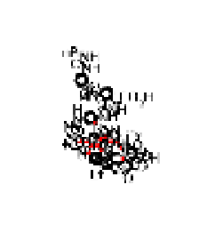 CCCNC(=O)Nc1cccc(S(=O)(=O)Nc2cccc([C@@H](CC(=O)O)NC(=O)Nc3ccc(NC(=O)N(C)CC(=O)N(C)CC(=O)N(C)CC(=O)N(C)CC(=O)N(C)CC(=O)N(C)CC(=O)N(C)CC(=O)N(C)CC(=O)N[C@@H](CC(=O)O)C(=O)N4CCC[C@H]4C(=O)N[C@H](C(=O)O[C@]4(CC)C(=O)OCc5c4cc4n(c5=O)Cc5c-4nc4ccccc4c5CC)C(C)C)cc3)c2)c1